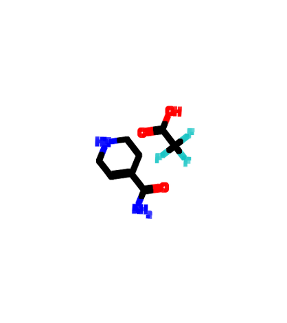 NC(=O)C1=CCNCC1.O=C(O)C(F)(F)F